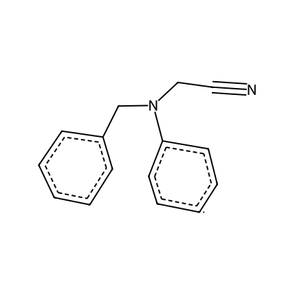 N#CCN(Cc1ccccc1)c1cc[c]cc1